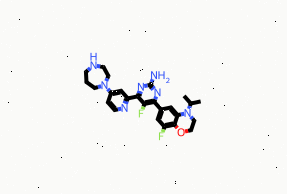 CC(C)N1CCOc2c(F)cc(-c3nc(N)nc(-c4cc(N5CCCNCC5)ccn4)c3F)cc21